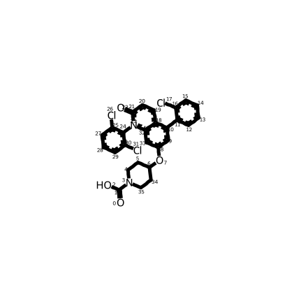 O=C(O)N1CCC(Oc2cc(-c3ccccc3Cl)c3ccc(=O)n(-c4c(Cl)cccc4Cl)c3c2)CC1